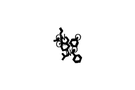 C=CCN1CC[C@@]2(c3cccc(OC)c3)C[C@@H](N(CC(C)C)C(=O)c3ccccc3)CC[C@]2(OC(C)=O)C1